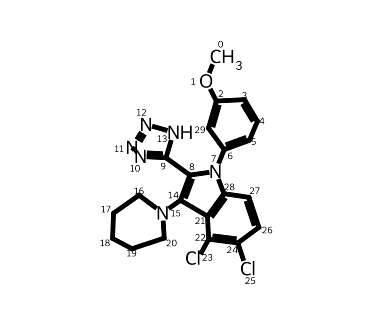 COc1cccc(-n2c(-c3nnn[nH]3)c(N3CCCCC3)c3c(Cl)c(Cl)ccc32)c1